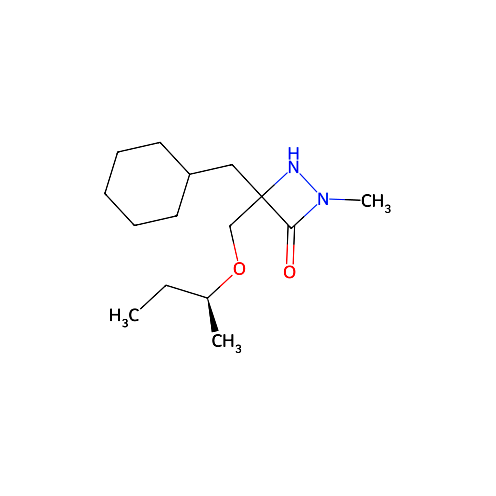 CC[C@H](C)OCC1(CC2CCCCC2)NN(C)C1=O